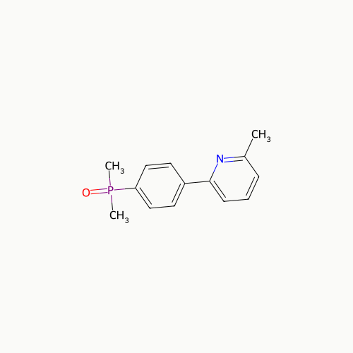 Cc1cccc(-c2ccc(P(C)(C)=O)cc2)n1